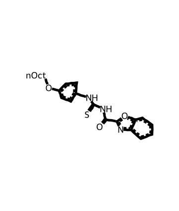 CCCCCCCCOc1ccc(NC(=S)NC(=O)c2nc3ccccc3o2)cc1